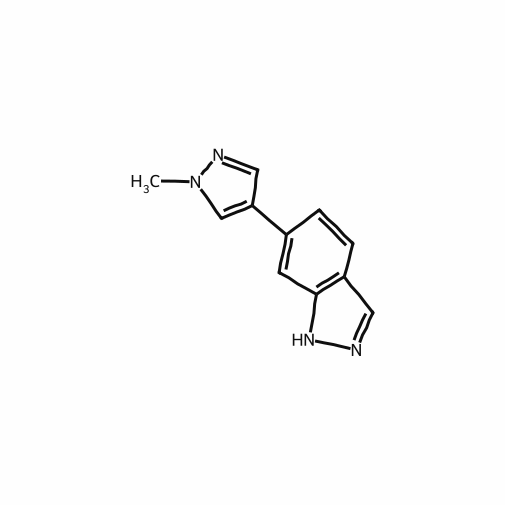 Cn1cc(-c2ccc3cn[nH]c3c2)cn1